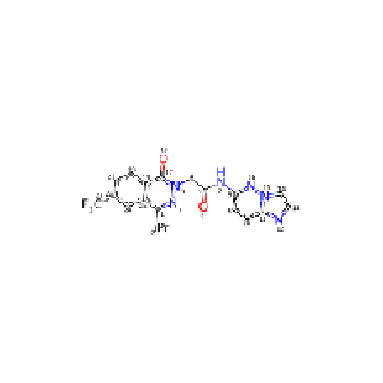 CC(C)c1nn(CC(=O)Nc2ccc3nccn3n2)c(=O)c2ccc(C(F)(F)F)cc12